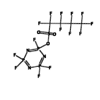 O=S(=O)(OP1(F)=NP(F)(F)=NP(F)(F)=N1)C(F)(F)C(F)(F)C(F)(F)C(F)(F)F